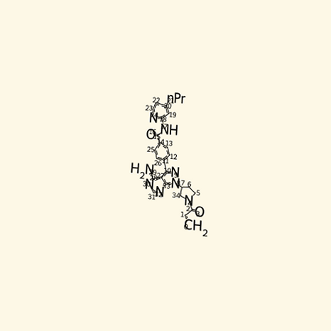 C=CC(=O)N1CCC(n2nc(-c3ccc(C(=O)Nc4cc(CCC)ccn4)cc3)c3c(N)ncnc32)C1